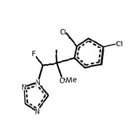 COC(C)(c1ccc(Cl)cc1Cl)C(F)n1cncn1